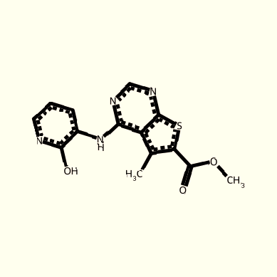 COC(=O)c1sc2ncnc(Nc3cccnc3O)c2c1C